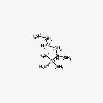 [SiH3][SiH2][SiH2][SiH2][SiH]([SiH3])[Si]([SiH3])([SiH3])[SiH3]